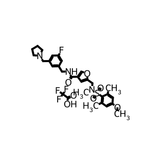 COc1cc(C)c(S(=O)(=O)N(C)Cc2cc(C(=O)NCc3cc(F)cc(CN4CCCC4)c3)co2)c(C)c1.O=C(O)C(F)(F)F